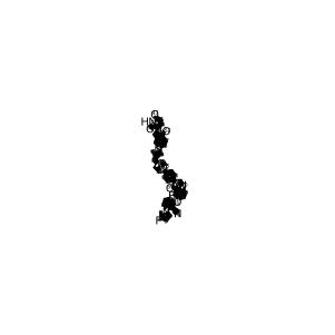 N#Cc1c(N2CC[C@H](F)C2)ccc(F)c1Oc1ccc2ncn(-c3ccc(N4CCN(CC5CN(c6ccc7c(c6)CN([C@H]6CCC(=O)NC6=O)C7=O)C5)CC4)cc3)c(=O)c2c1